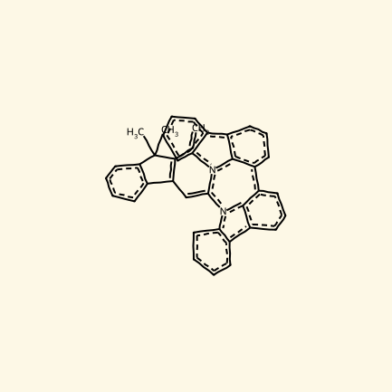 C=CC1=C(C=c2n3c4ccccc4c4cccc(c5cccc6c7ccccc7n2c65)c43)c2ccccc2C1(C)C